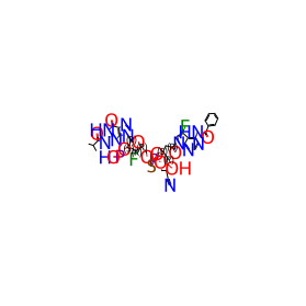 CC(C)C(=O)Nc1nc2c(ncn2[C@@H]2O[C@H](COP(=S)(OCCC#N)O[C@H]3C[C@H](n4cc(F)c5c(NC(=O)c6ccccc6)ncnc54)O[C@@H]3CO)[C@@H](F)[C@H]2OP=O)c(=O)[nH]1